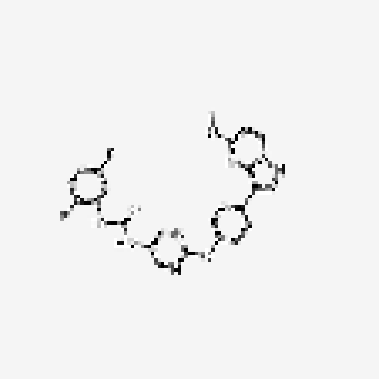 COc1ccn2ncc(-c3ccc(Oc4ncc(NC(=O)Nc5cc(F)ccc5F)cn4)cc3)c2n1